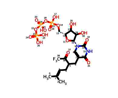 CC(C)=CCC(Cc1cn([C@@H]2O[C@H](COP(=O)(O)OP(=O)(O)OP(=O)(O)O)C(O)C2O)c(=O)[nH]c1=O)C(=O)C(F)(F)F